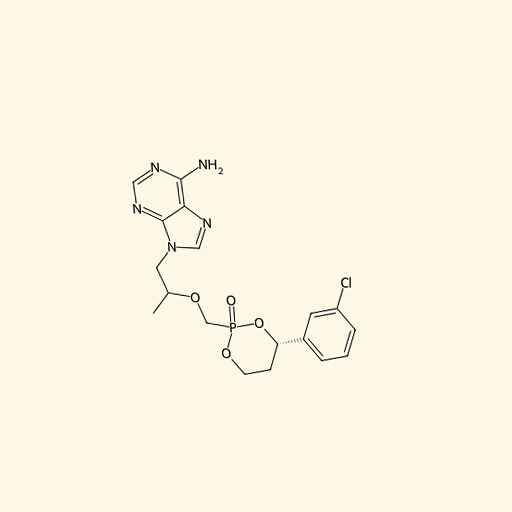 CC(Cn1cnc2c(N)ncnc21)OCP1(=O)OCC[C@@H](c2cccc(Cl)c2)O1